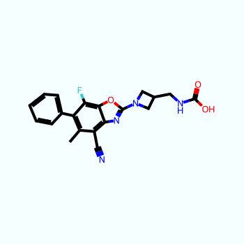 Cc1c(-c2ccccc2)c(F)c2oc(N3CC(CNC(=O)O)C3)nc2c1C#N